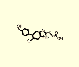 O=C(O)CSc1nc2cc(-c3ccc(CO)cc3)c(Cl)cc2[nH]1